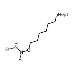 CCCCCCCCCCCCCON(CC)NCC